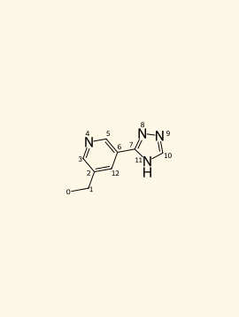 CCc1cncc(-c2nnc[nH]2)c1